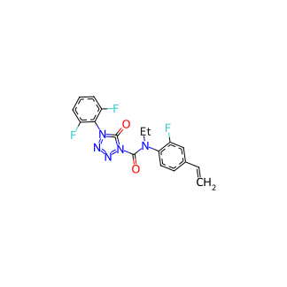 C=Cc1ccc(N(CC)C(=O)n2nnn(-c3c(F)cccc3F)c2=O)c(F)c1